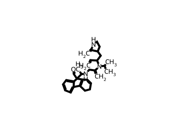 C=CC(CC1CCNC1=C)N(C(=C)CNC(C)C1(C=O)C2=C(CCC=C2)c2ccccc21)C(C)C